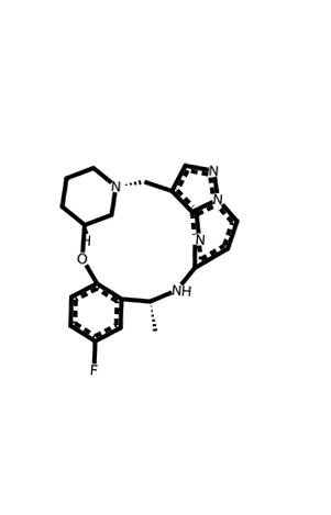 C[C@H]1Nc2ccn3ncc(c3n2)C[N@@]2CCC[C@H](C2)Oc2ccc(F)cc21